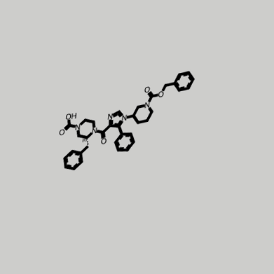 O=C(O)N1CCN(C(=O)c2ncn(C3CCCN(C(=O)OCc4ccccc4)C3)c2-c2ccccc2)[C@H](Cc2ccccc2)C1